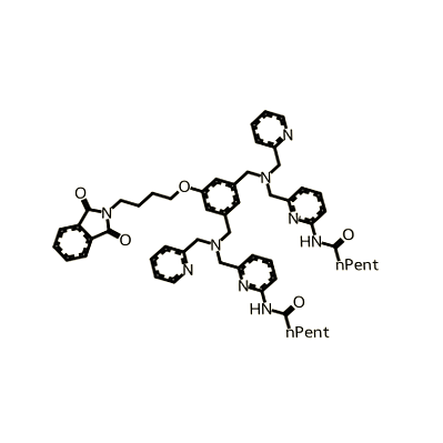 CCCCCC(=O)Nc1cccc(CN(Cc2cc(CN(Cc3ccccn3)Cc3cccc(NC(=O)CCCCC)n3)cc(OCCCCN3C(=O)c4ccccc4C3=O)c2)Cc2ccccn2)n1